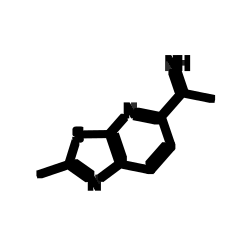 CC(=N)c1ccc2nc(C)sc2n1